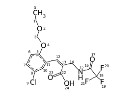 CCOCOc1ccc(Cl)cc1C=C(CNC(=O)C(F)(F)F)C(=O)O